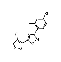 Cc1cc(Cl)ccc1-c1noc(-c2sccc2Cl)n1